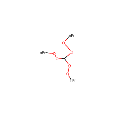 CCCOOC(OOCCC)OOCCC